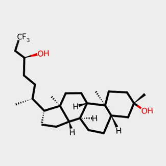 C[C@H](CC[C@H](O)CC(F)(F)F)[C@H]1CC[C@H]2[C@@H]3CC[C@H]4C[C@@](C)(O)CC[C@]4(C)[C@H]3CC[C@]12C